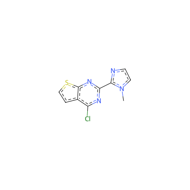 Cn1ccnc1-c1nc(Cl)c2ccsc2n1